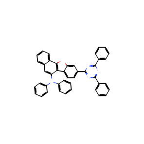 c1ccc(-c2nc(-c3ccccc3)nc(-c3ccc4c(c3)oc3c5ccccc5cc(N(c5ccccc5)c5ccccc5)c43)n2)cc1